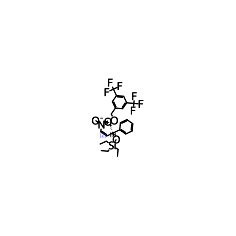 CC[Si](CC)(CC)O[C@](/C=C\[N+](=O)[O-])(COCc1cc(C(F)(F)F)cc(C(F)(F)F)c1)c1ccccc1